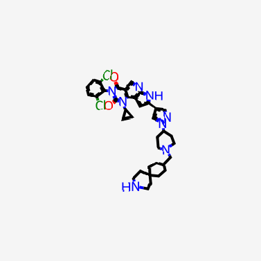 O=c1c2cnc3[nH]c(-c4cnn(C5CCN(CC6CCC7(CCNCC7)CC6)CC5)c4)cc3c2n(C2CC2)c(=O)n1-c1c(Cl)cccc1Cl